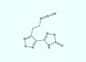 [N-]=[N+]=NCCc1nonc1-c1noc(=O)[nH]1